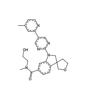 Cc1ccnc(-c2cnc(N3CC4(CCOC4)c4ccc(C(=O)N(C)CCO)cc43)nc2)c1